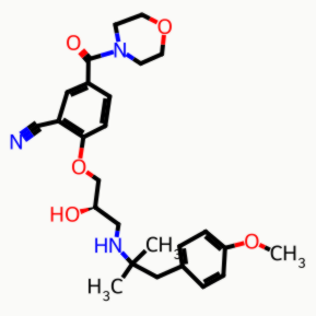 COc1ccc(CC(C)(C)NC[C@@H](O)COc2ccc(C(=O)N3CCOCC3)cc2C#N)cc1